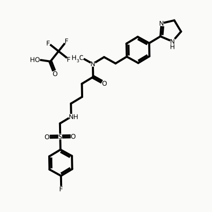 CN(CCc1ccc(C2=NCCN2)cc1)C(=O)CCCNCS(=O)(=O)c1ccc(F)cc1.O=C(O)C(F)(F)F